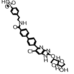 O=C(NCCc1ccc(S(=O)(=O)O)cc1)c1ccc(-c2ccc(-c3nc4nc(O[C@@H]5CO[C@H]6[C@@H]5OC[C@H]6O)[nH]c4cc3Cl)cc2)cc1